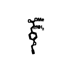 C#CCOc1ccc(C[C@H](N)C(=O)OC)cc1